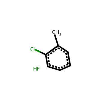 Cc1ccccc1Cl.F